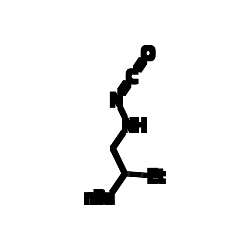 CCCCC(CC)CNN=C=O